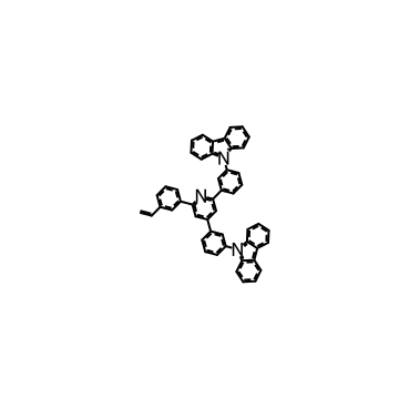 C=Cc1cccc(-c2cc(-c3cccc(-n4c5ccccc5c5ccccc54)c3)cc(-c3cccc(-n4c5ccccc5c5ccccc54)c3)n2)c1